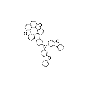 c1cc(-c2ccc3oc4ccc5ccc6oc7cccc8c7c6c5c4c3c2-8)cc(N(c2ccc3c(c2)oc2ccccc23)c2ccc3oc4ccccc4c3c2)c1